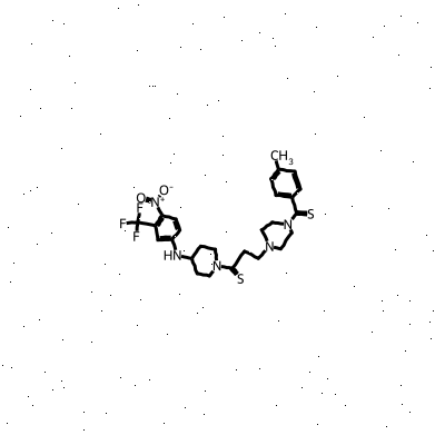 Cc1ccc(C(=S)N2CCN(CCC(=S)N3CCC(Nc4ccc([N+](=O)[O-])c(C(F)(F)F)c4)CC3)CC2)cc1